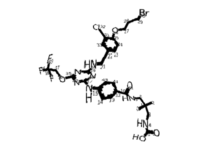 CC(C)(CNC(=O)O)CNC(=O)c1ccc(Nc2nc(NCc3ccc(OCCCBr)c(Cl)c3)nc(OCC(F)(F)F)n2)cc1